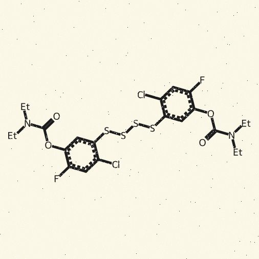 CCN(CC)C(=O)Oc1cc(SSSSc2cc(OC(=O)N(CC)CC)c(F)cc2Cl)c(Cl)cc1F